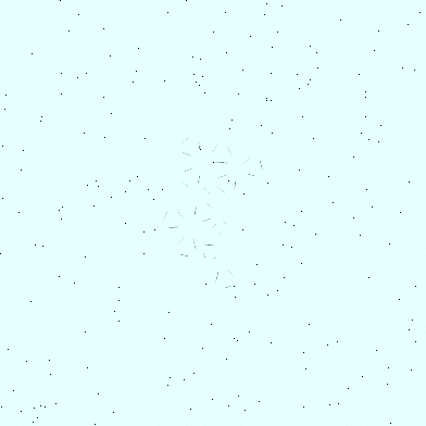 CC1(C)c2ccccc2-c2ccc(N(c3ccc4c(c3)-c3ccccc3-c3ccccc3C43c4ccccc4-c4c3ccc3c4sc4ccccc43)c3cccc4c3Oc3ccccc3-c3ccccc3-4)cc21